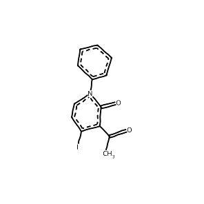 CC(=O)c1c(I)ccn(-c2ccccc2)c1=O